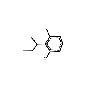 CCC(C)c1c(F)cccc1Cl